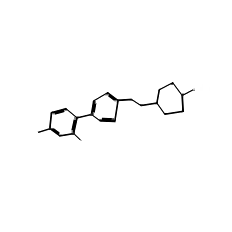 CCCc1ccc(-c2ccc(CCC3CCC(CCC)CC3)cc2)c(F)c1